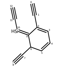 [C]#CC1=CC=CC(C#[C])C1=[SiH]C#C